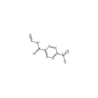 O=COC(=O)c1ccc([N+](=O)[O-])cc1